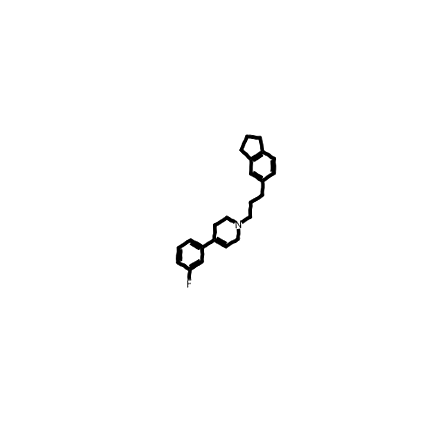 Fc1cccc(C2=CCN(CCCc3ccc4c(c3)CCC4)CC2)c1